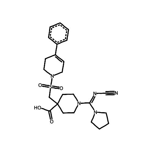 N#CN=C(N1CCCC1)N1CCC(CS(=O)(=O)N2CC=C(c3ccccc3)CC2)(C(=O)O)CC1